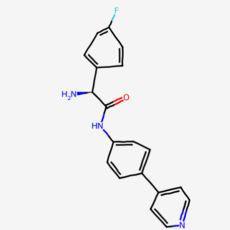 N[C@H](C(=O)Nc1ccc(-c2ccncc2)cc1)c1ccc(F)cc1